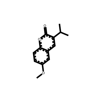 COc1ccc2oc(=O)c(C(C)C)cc2c1